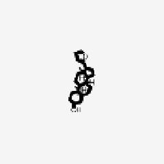 C[C@]12CCC(O)CC1CC[C@@H]1[C@H]2CC[C@]2(C)C(c3ccco3)=CC[C@@H]12